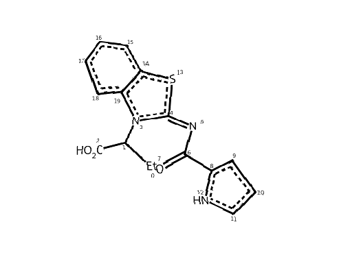 CCC(C(=O)O)n1/c(=N\C(=O)c2ccc[nH]2)sc2ccccc21